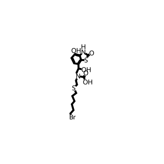 O=C(O)N(CCSCCCCCCBr)CC(O)c1ccc(O)c2[nH]c(=O)sc12